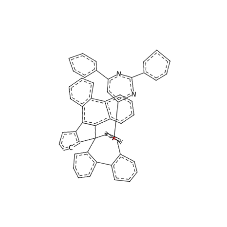 c1ccc(-c2cc(-c3ccc4c(c3)C3(c5ccccc5-c5ccccc5-4)c4ccccc4-c4c3c3ccccc3c3ccccc43)nc(-c3ccccc3)n2)cc1